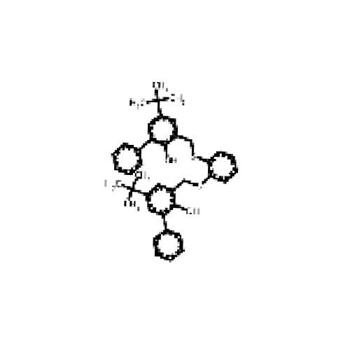 CC(C)(C)c1cc(CSc2ccccc2SCc2cc(C(C)(C)C)cc(-c3ccccc3)c2O)c(O)c(-c2ccccc2)c1